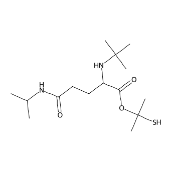 CC(C)NC(=O)CCC(NC(C)(C)C)C(=O)OC(C)(C)S